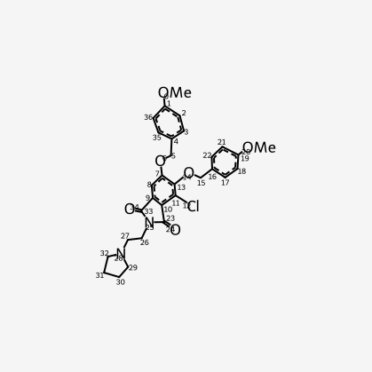 COc1ccc(COc2cc3c(c(Cl)c2OCc2ccc(OC)cc2)C(=O)N(CCN2CCCC2)C3=O)cc1